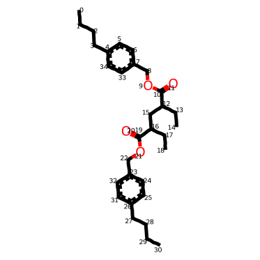 CCCCc1ccc(COC(=O)C(CC)CC(CC)C(=O)OCc2ccc(CCCC)cc2)cc1